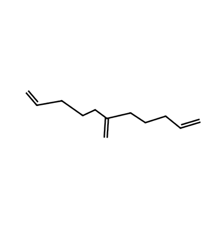 C=CCCCC(=C)CCCC=C